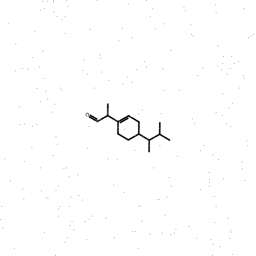 CC(C=O)C1=CCC(C(C)C(C)C)CC1